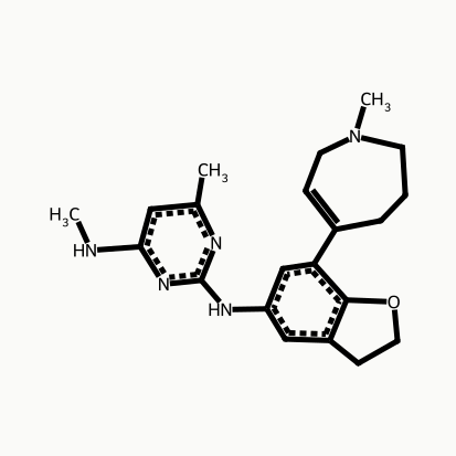 CNc1cc(C)nc(Nc2cc3c(c(C4=CCN(C)CCC4)c2)OCC3)n1